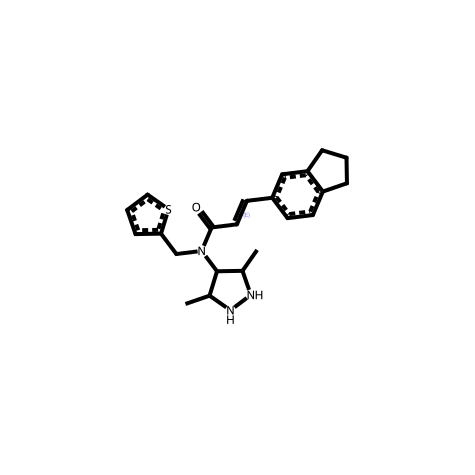 CC1NNC(C)C1N(Cc1cccs1)C(=O)/C=C/c1ccc2c(c1)CCC2